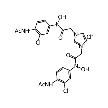 CC(=O)Nc1ccc(N(O)C(=O)Cn2cc[n+](CC(=O)N(O)c3ccc(NC(C)=O)c(Cl)c3)c2)cc1Cl.[Cl-]